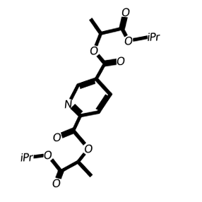 CC(C)OC(=O)C(C)OC(=O)c1ccc(C(=O)OC(C)C(=O)OC(C)C)nc1